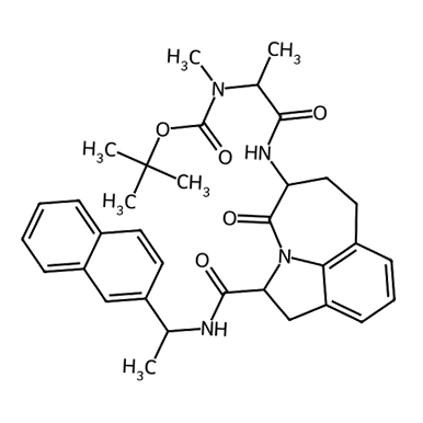 CC(NC(=O)C1Cc2cccc3c2N1C(=O)C(NC(=O)C(C)N(C)C(=O)OC(C)(C)C)CC3)c1ccc2ccccc2c1